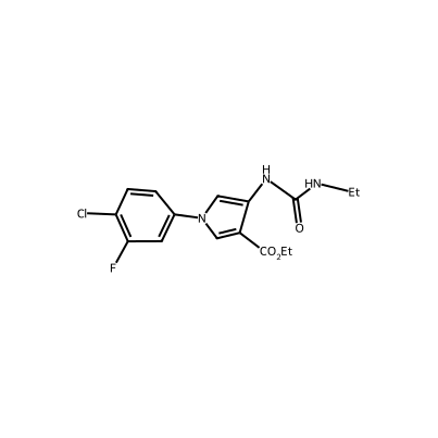 CCNC(=O)Nc1cn(-c2ccc(Cl)c(F)c2)cc1C(=O)OCC